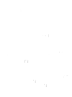 Cn1nc(C(F)(F)F)c2c(=O)c(O)c(-c3cc(Cl)ccc3Cl)[nH]c21